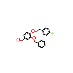 O=Cc1ccc(OCCc2ccc(F)cc2)c(OCc2ccccc2)c1